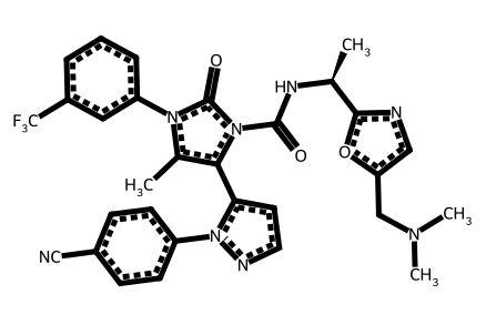 Cc1c(-c2ccnn2-c2ccc(C#N)cc2)n(C(=O)N[C@@H](C)c2ncc(CN(C)C)o2)c(=O)n1-c1cccc(C(F)(F)F)c1